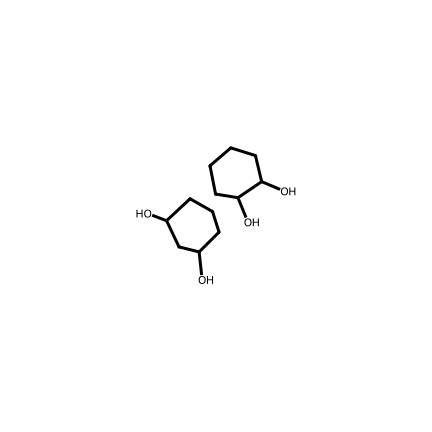 OC1CCCC(O)C1.OC1CCCCC1O